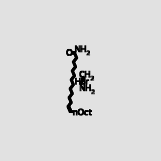 Br.C=CCN.CCCCCCCC/C=C\CCCCCCCCCCCC(N)=O